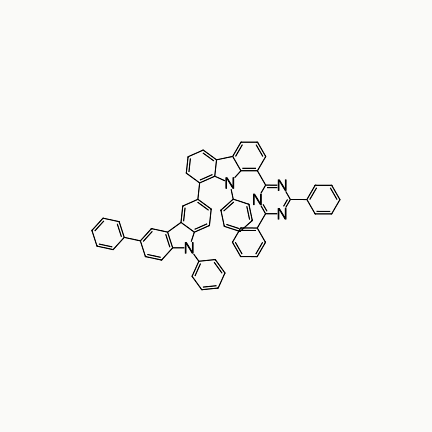 c1ccc(-c2ccc3c(c2)c2cc(-c4cccc5c6cccc(-c7nc(-c8ccccc8)nc(-c8ccccc8)n7)c6n(-c6ccccc6)c45)ccc2n3-c2ccccc2)cc1